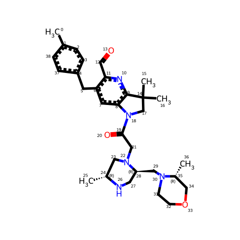 Cc1ccc(Cc2cc3c(nc2C=O)C(C)(C)CN3C(=O)CN2C[C@@H](C)NC[C@@H]2CN2CCOC[C@H]2C)cc1